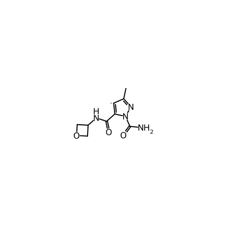 Cc1[c]c(C(=O)NC2COC2)n(C(N)=O)n1